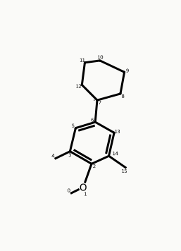 COc1c(C)cc([C]2CCCCC2)cc1C